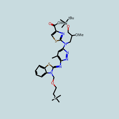 COC(=O)c1csc(N(CC(CO[Si](C)(C)C(C)(C)C)OC)c2cc(C)c(/N=c3\sc4ccccc4n3COCC[Si](C)(C)C)nn2)n1